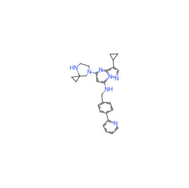 c1ccc(-c2ccc(CNc3cc(N4CCNC5(CC5)C4)nc4c(C5CC5)cnn34)cc2)nc1